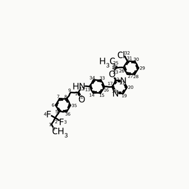 CCC(F)(F)c1ccc(CC(=O)Nc2ccc(-c3nccnc3O[C@H](C)c3ccccc3Cl)cc2)cc1